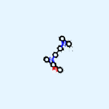 N#Cc1cc(-c2ccc(-n3c4ccccc4c4cc5oc6ccccc6c5cc43)cc2)ccc1-n1c2ccccc2c2ccccc21